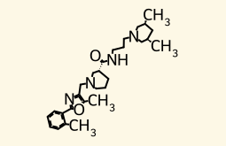 Cc1ccccc1-c1nc(CN2CCC[C@@H](C(=O)NCCCN3C[C@H](C)C[C@H](C)C3)C2)c(C)o1